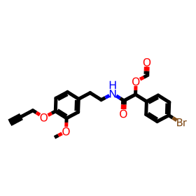 C#CCOc1ccc(CCNC(=O)C(OC=O)c2ccc(Br)cc2)cc1OC